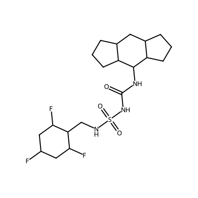 O=C(NC1C2CCCC2CC2CCCC21)NS(=O)(=O)NCC1C(F)CC(F)CC1F